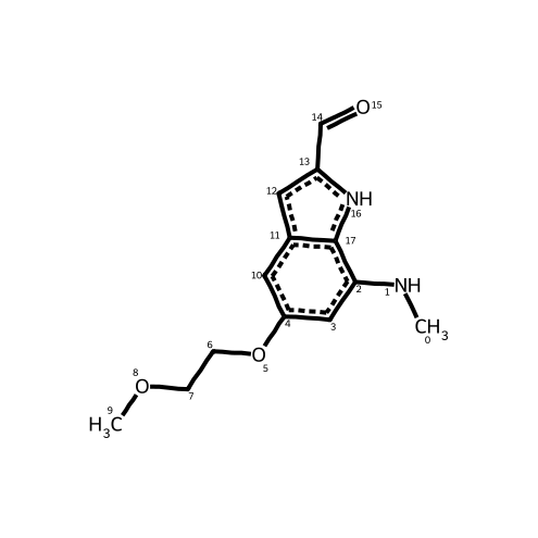 CNc1cc(OCCOC)cc2cc(C=O)[nH]c12